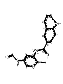 Cc1ncc(NC=O)cc1NC(=O)c1ccc2ncccc2c1